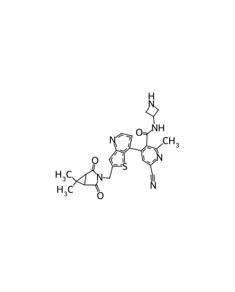 Cc1nc(C#N)cc(-c2ccnc3cc(CN4C(=O)C5C(C4=O)C5(C)C)sc23)c1C(=O)NC1CNC1